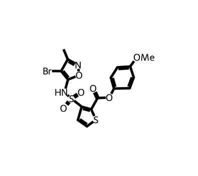 COc1ccc(OC(=O)c2sccc2S(=O)(=O)Nc2onc(C)c2Br)cc1